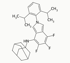 CC(C)c1cccc(C(C)C)c1-n1cc2c(F)c(F)c(F)c(NC34CC5CC(CC(C5)C3)C4)c2c1